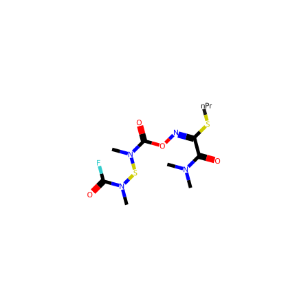 CCCSC(=NOC(=O)N(C)SN(C)C(=O)F)C(=O)N(C)C